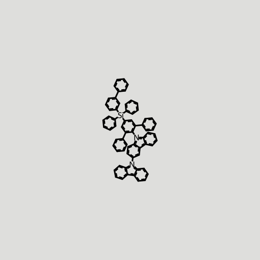 c1ccc(-c2cccc([Si](c3ccccc3)(c3ccccc3)c3cc(-c4ccccc4)c(-n4c5ccccc5c5cc(-n6c7ccccc7c7ccccc76)ccc54)c(-c4ccccc4)c3)c2)cc1